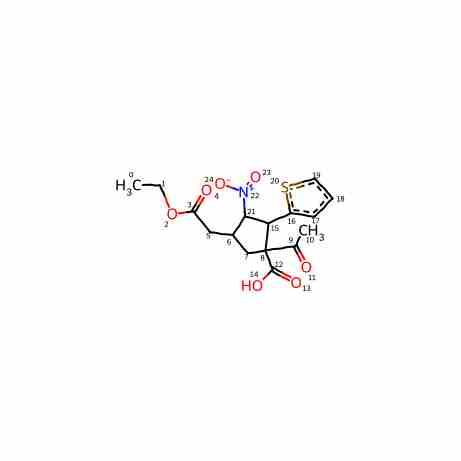 CCOC(=O)CC1CC(C(C)=O)(C(=O)O)C(c2cccs2)C1[N+](=O)[O-]